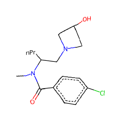 CCCC(CN1CC(O)C1)N(C)C(=O)c1ccc(Cl)cc1